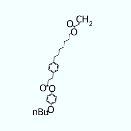 C=CC(=O)OCCCCCCCc1ccc(CCC(=O)Oc2ccc(OCCCC)cc2)cc1